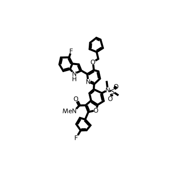 CNC(=O)c1c(-c2ccc(F)cc2)oc2cc(N(C)S(C)(=O)=O)c(-c3ccc(OCc4ccccc4)c(-c4cc5c(F)cccc5[nH]4)n3)cc12